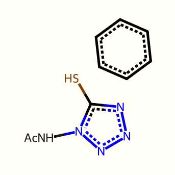 CC(=O)Nn1nnnc1S.c1ccccc1